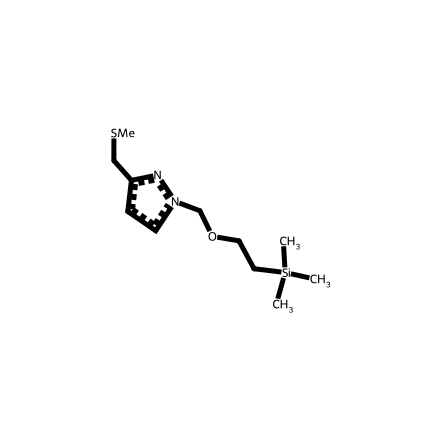 CSCc1ccn(COCC[Si](C)(C)C)n1